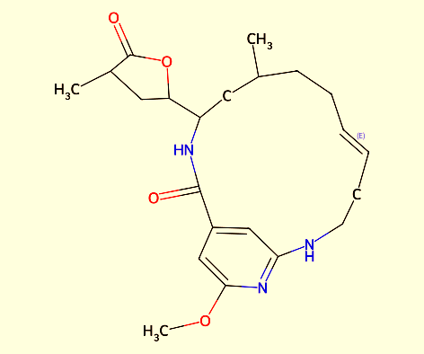 COc1cc2cc(n1)NCC/C=C/CCC(C)CC(C1CC(C)C(=O)O1)NC2=O